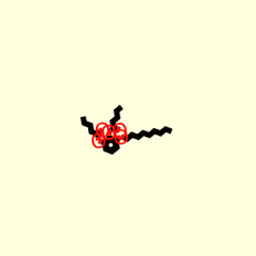 CCCCCCCCCOc1cccc(OC(=O)CCCC)c1OC(=O)CCCC